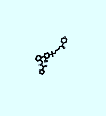 CC(C)(CCCCC(=O)N1CCOCC1)c1ccc(-c2ccccc2CNC(=O)c2ccco2)c(O)c1